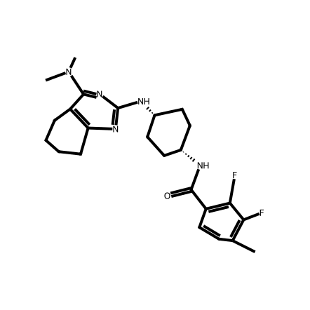 Cc1ccc(C(=O)N[C@H]2CC[C@@H](Nc3nc4c(c(N(C)C)n3)CCCC4)CC2)c(F)c1F